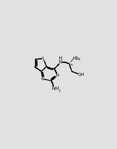 CCCC[C@H](CO)Nc1nc(N)nc2ccsc12